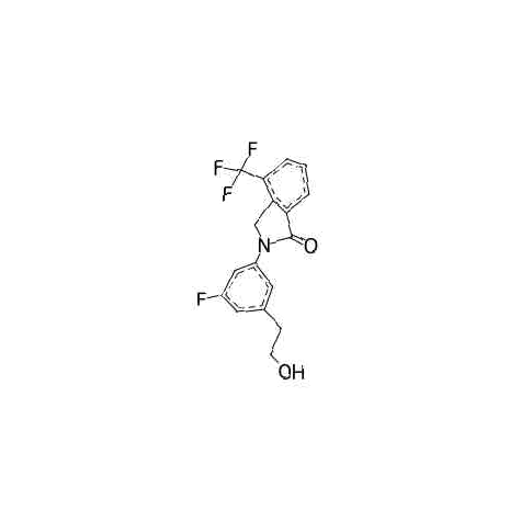 O=C1c2cccc(C(F)(F)F)c2CN1c1cc(F)cc(CCO)c1